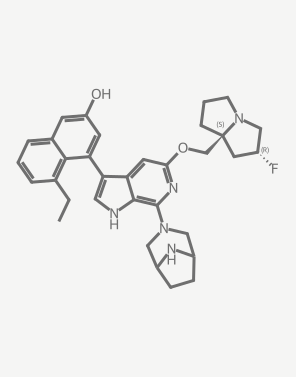 CCc1cccc2cc(O)cc(-c3c[nH]c4c(N5CC6CCC(C5)N6)nc(OC[C@@]56CCCN5C[C@H](F)C6)cc34)c12